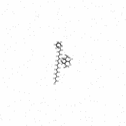 CC(C)c1ccnc(C(C)C)c1C(C)C.CCCCCCCCCCCCCCCC[n+]1ccccc1